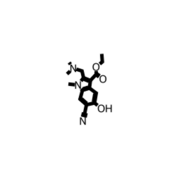 CCOC(=O)c1c(CN(C)C)n(C)c2cc(C#N)c(O)cc12